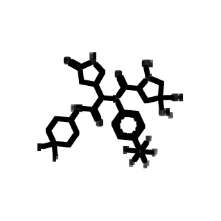 CC1(O)CC(C(=O)N(c2ccc(S(F)(F)(F)(F)F)cc2)C(C(=O)NC2CCC(F)(F)CC2)C2CNC(=O)C2)N(C#N)C1